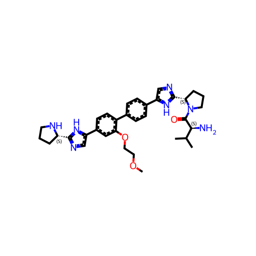 COCCOc1cc(-c2cnc([C@@H]3CCCN3)[nH]2)ccc1-c1ccc(-c2cnc([C@@H]3CCCN3C(=O)[C@@H](N)C(C)C)[nH]2)cc1